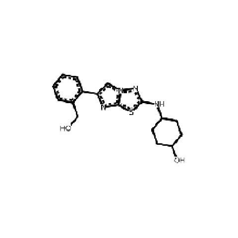 OCc1ccccc1-c1cn2nc(NC3CCC(O)CC3)sc2n1